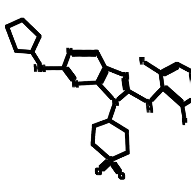 O=S1(=O)CCC(n2c(Nc3c(F)cccc3F)nc3cnc(NC4CCCC4)nc32)CC1